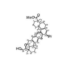 COC(=O)C1(C)CCCC2(C)c3cc(Sc4cc5c(cc4C(C)C)CCC4C(C)(C(=O)CO)CCCC54C)c(C(C)C)cc3CCC12